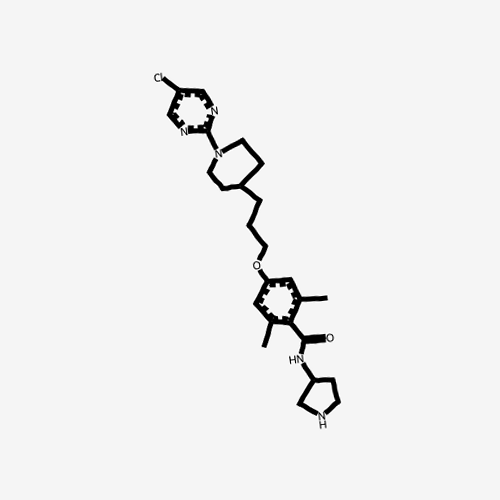 Cc1cc(OCCCC2CCN(c3ncc(Cl)cn3)CC2)cc(C)c1C(=O)NC1CCNC1